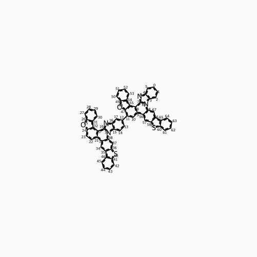 c1ccc2c(c1)nc1c3c(cc(-c4ccc5c(c4)nc4c6c(ccc7oc8ccccc8c76)c6cc7c(cc6n54)sc4ccccc47)c4oc5ccccc5c43)c3cc4sc5ccccc5c4cc3n21